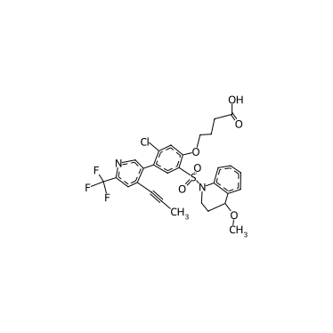 CC#Cc1cc(C(F)(F)F)ncc1-c1cc(S(=O)(=O)N2CCC(OC)c3ccccc32)c(OCCCC(=O)O)cc1Cl